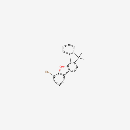 CC1(C)c2ccccc2-c2c1ccc1c2oc2c(Br)cccc21